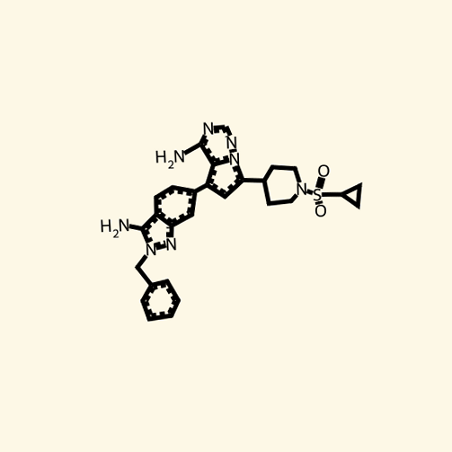 Nc1ncnn2c(C3CCN(S(=O)(=O)C4CC4)CC3)cc(-c3ccc4c(N)n(Cc5ccccc5)nc4c3)c12